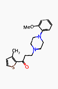 COc1ccccc1N1CCN(CCC(=O)c2sccc2C)CC1